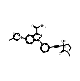 Cc1cn(-c2ccc3c(c2)c(C(N)=O)nn3-c2cccc(C#C[C@]3(O)CCN(C)C3=O)c2)cn1